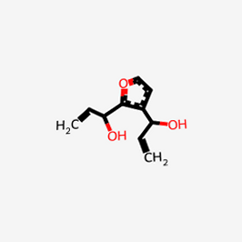 C=CC(O)c1ccoc1C(O)C=C